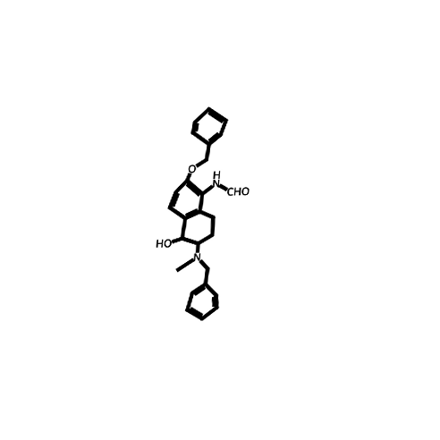 CN(Cc1ccccc1)C1CCc2c(ccc(OCc3ccccc3)c2NC=O)C1O